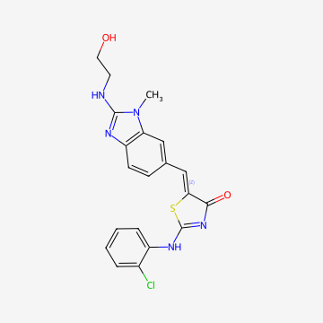 Cn1c(NCCO)nc2ccc(/C=C3\SC(Nc4ccccc4Cl)=NC3=O)cc21